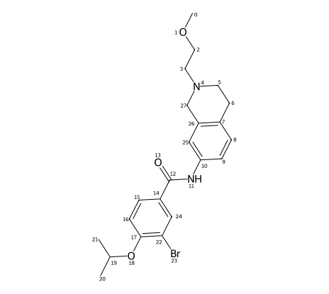 COCCN1CCc2ccc(NC(=O)c3ccc(OC(C)C)c(Br)c3)cc2C1